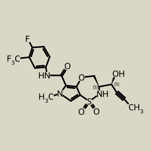 CC#C[C@H](O)[C@@H]1COc2c(cn(C)c2C(=O)Nc2ccc(F)c(C(F)(F)F)c2)S(=O)(=O)N1